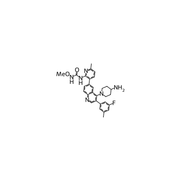 CONC(=O)Nc1nc(C)ccc1-c1ccc2ncc(-c3cc(C)cc(F)c3)c(N3CCC(N)CC3)c2c1